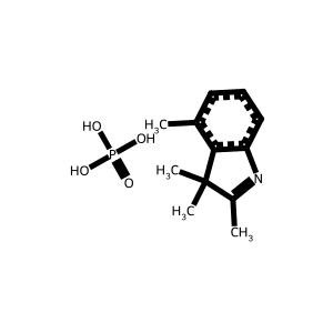 CC1=Nc2cccc(C)c2C1(C)C.O=P(O)(O)O